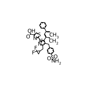 C=C/C(=C\C(=C/C)c1ccccc1)c1c(Cc2ccc(S(N)(=O)=O)cc2)c(CC2CC2(F)F)nn1-c1nc(C(=O)O)cs1